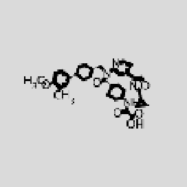 COc1ccc([C@H]2CC[C@H](CN(c3cc(-c4coc(C5CC5)n4)ccn3)C(=O)[C@H]3CC[C@H](NC(=O)C(=O)O)CC3)CC2)cc1C